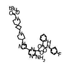 CC(C)(C)OC(=O)N1CCC2(CC1)CC(N1CCC(n3cc(-c4cnc(N)c(C(=O)O[C@@H](C(=O)Nc5ccc(F)cc5)c5ccccc5)n4)cn3)CC1)C2